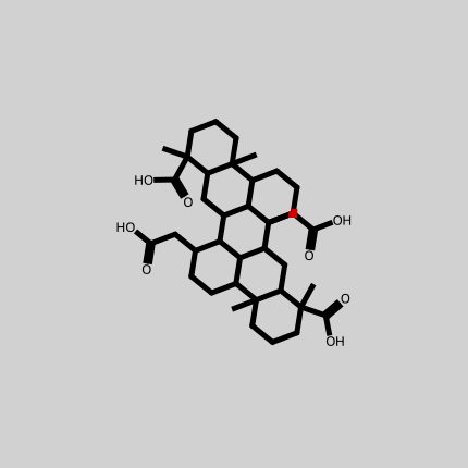 CC1(C(=O)O)CCCC2(C)C3CCC(CC(=O)O)C4C5CC6C(C)(C(=O)O)CCCC6(C)C6CCCC(CC(=O)O)(C(CC12)C43)C56